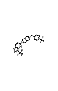 FC(F)(F)c1ccc(CN2CC3CN(c4ccc5nnc(C(F)(F)F)n5n4)CC3C2)cn1